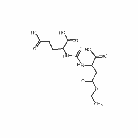 CCOC(=O)CC(NC(=O)NC(CCC(=O)O)C(=O)O)C(=O)O